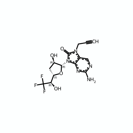 C#CCn1c(=O)n([C@@H]2O[C@H]([C@@H](O)C(F)(F)F)C[C@H]2O)c2nc(N)ncc21